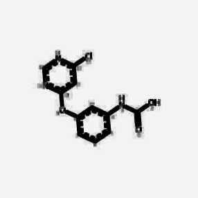 O=C(O)Nc1cccc(Oc2cc(Cl)ncn2)c1